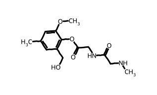 CNCC(=O)NCC(=O)Oc1c(CO)cc(C)cc1OC